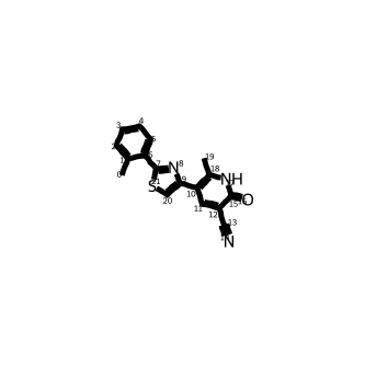 Cc1ccccc1-c1nc(-c2cc(C#N)c(=O)[nH]c2C)cs1